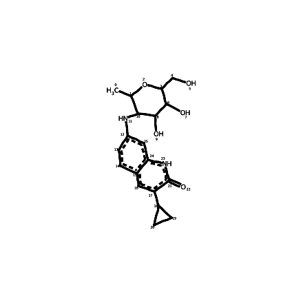 CC1OC(CO)C(O)C(O)C1Nc1ccc2cc(C3CC3)c(=O)[nH]c2c1